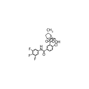 C[C@H]1CC2C[C@H](CO)C1[C@@H]2S(=O)(=O)c1cc(C(=O)Nc2cc(F)c(F)c(F)c2)ccc1Cl